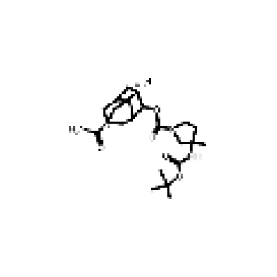 CC1(NC(=O)OC(C)(C)C)CCN(C(=O)OC2C3CC4C[C@@H]2C[C@@](C(N)=O)(C4)C3)C1